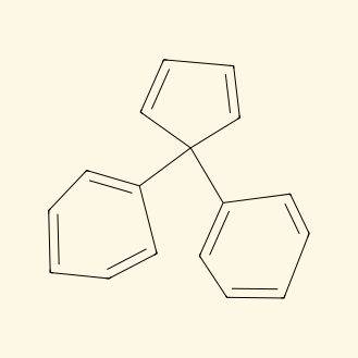 C1=CC(c2ccccc2)(c2ccccc2)C=C1